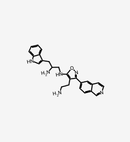 NCCc1c(-c2ccc3cnccc3c2)noc1NCC(N)Cc1c[nH]c2ccccc12